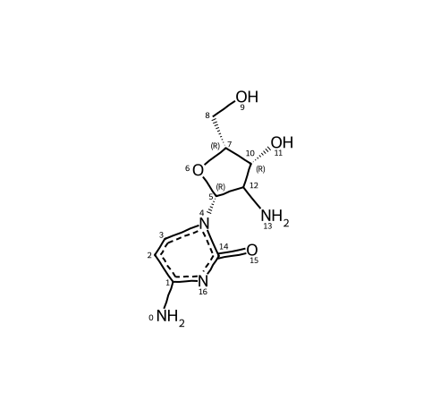 Nc1ccn([C@@H]2O[C@H](CO)[C@H](O)C2N)c(=O)n1